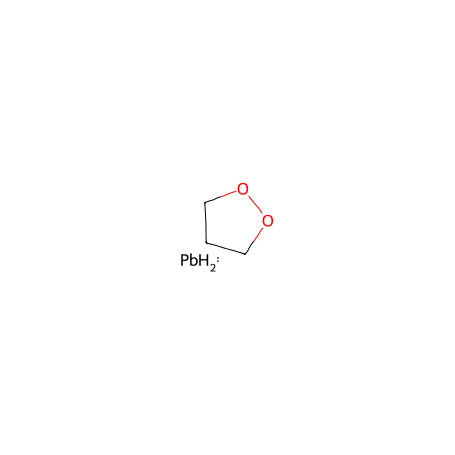 C1COOC1.[PbH2]